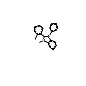 Cc1ccccc1C1N(C)c2ccccc2N1c1ccccc1